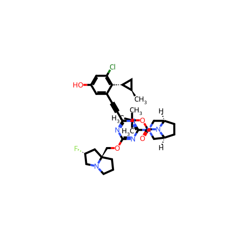 C[C@@H]1C[C@H]1c1c(Cl)cc(O)cc1C#Cc1nc(OC[C@@]23CCCN2C[C@H](F)C3)nc(N2C[C@H]3CC[C@@H](C2)N3C(=O)OC(C)(C)C)n1